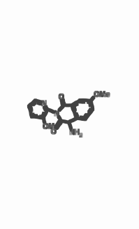 COc1ccc2c(c1)C(=O)N(c1ncccc1OC)C(=O)C2N